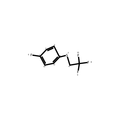 Fc1ccc(SCC(F)(F)F)cc1